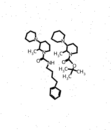 CC1C(N2CCCCC2)CCCN1C(=O)NCCCCc1ccccc1.CC1C(N2CCCCC2)CCCN1C(=O)OC(C)(C)C